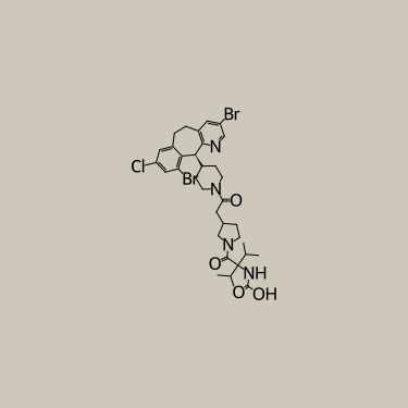 CC(C)C(NC(=O)O)(C(=O)N1CCC(CC(=O)N2CCC([C@@H]3c4ncc(Br)cc4CCc4cc(Cl)cc(Br)c43)CC2)C1)C(C)C